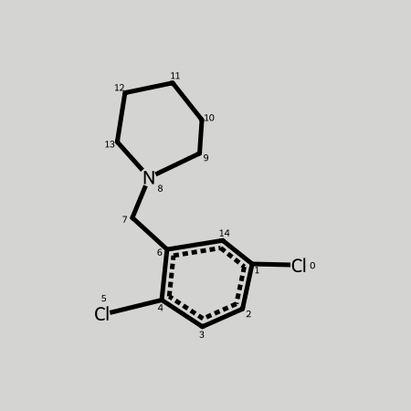 Clc1ccc(Cl)c(CN2CCCCC2)c1